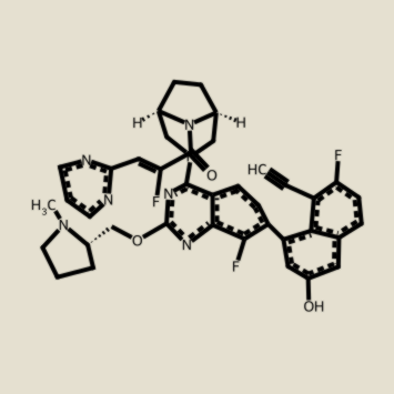 C#Cc1c(F)ccc2cc(O)cc(-c3ccc4c(N5C[C@H]6CC[C@@H](C5)N6C(=O)/C(F)=C/c5ncccn5)nc(OC[C@@H]5CCCN5C)nc4c3F)c12